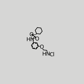 O=S(=O)(Nc1cccc(OCCNCl)c1)C1CCCCC1